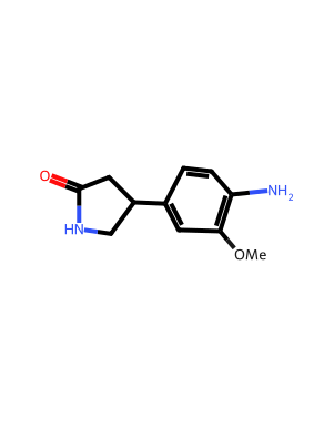 COc1cc(C2CNC(=O)C2)ccc1N